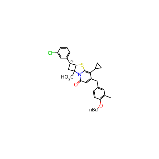 CCCCOc1ccc(Cc2cc(=O)n3c(c2C2CC2)SC2[C@H](c4cccc(Cl)c4)CC23C(=O)O)cc1C